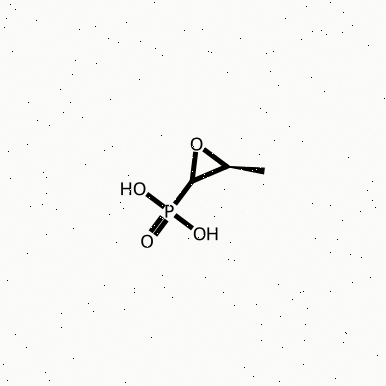 C[C@@H]1OC1P(=O)(O)O